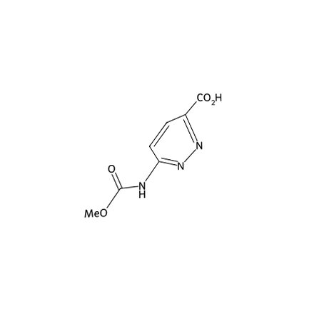 COC(=O)Nc1ccc(C(=O)O)nn1